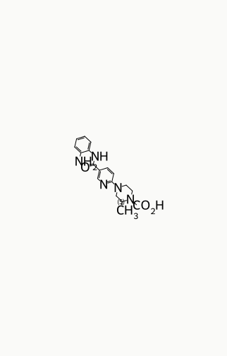 C[C@H]1CN(c2ccc(C(=O)Nc3ccccc3N)cn2)CCN1C(=O)O